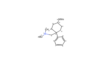 CCCCN(C)CC1(c2ccccc2)CCC(NC)CC1